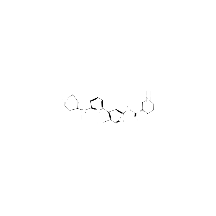 O=C(Nc1cc(-c2cccc(NC3CCOCC3)n2)c(Cl)cn1)[C@@H]1CCCNC1